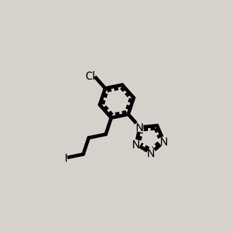 Clc1ccc(-n2cnnn2)c(CCCI)c1